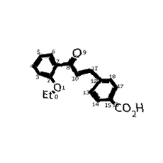 CCOc1ccccc1C(=O)/C=C/c1ccc(C(=O)O)cc1